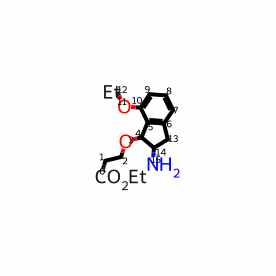 CCOC(=O)CCOC1c2c(cccc2OCC)CC1N